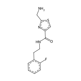 NCc1nc(C(=O)NCCc2ccccc2F)cs1